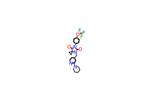 O=C1N(c2ccc(OC(F)(F)F)cc2)C(=O)C2(CC2)N1Cc1ccnc(N2CCCCC2)c1